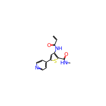 C=CC(=O)Nc1cc(-c2ccncc2)sc1C(=O)NC